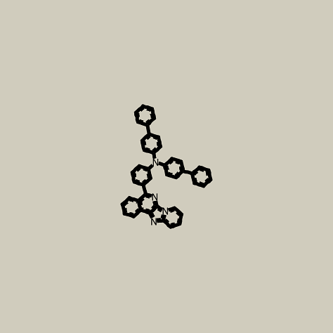 c1ccc(-c2ccc(N(c3ccc(-c4ccccc4)cc3)c3cccc(-c4nc5c(nc6ccccn65)c5ccccc45)c3)cc2)cc1